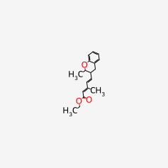 CCOC(=O)/C=C(C)/C=C/C1Cc2ccccc2OC1C